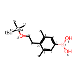 Cc1cc(B(O)O)cc(C)c1CCO[Si](C)(C)C(C)(C)C